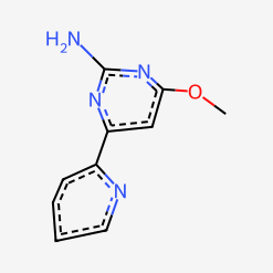 COc1cc(-c2ccccn2)nc(N)n1